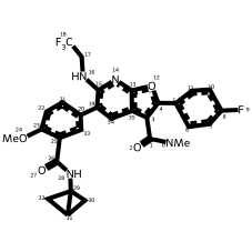 CNC(=O)c1c(-c2ccc(F)cc2)oc2nc(NCC(F)(F)F)c(-c3ccc(OC)c(C(=O)NC45CC4C5)c3)cc12